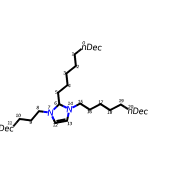 CCCCCCCCCCCCCCCC1N(CCCCCCCCCCCCC)C=CN1CCCCCCCCCCCCCCC